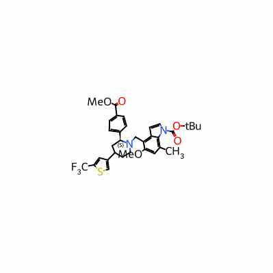 COC(=O)c1ccc([C@@H]2CC(c3csc(C(F)(F)F)c3)CCN2Cc2c(OC)cc(C)c3c2ccn3C(=O)OC(C)(C)C)cc1